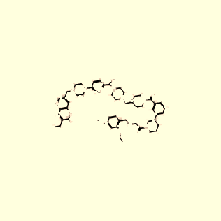 CCOc1cc(OC)ccc1CNCC(=O)N1CCCC(c2cccc(C(=O)N3CCC(CN4CCN(C(=O)c5ccc(N6CCN(Cc7cnc8cc(CC)c(=O)[nH]c8c7)CC6)cn5)CC4)CC3)c2)C1